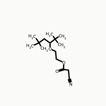 CC(C)(C)CC(OCCOC(=O)CC#N)C(C)(C)C